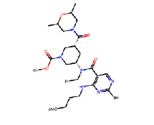 COCCCNc1nc(C(C)(C)C)ncc1C(=O)N(CC(C)C)[C@H]1C[C@@H](C(=O)N2CC(C)OC(C)C2)CN(C(=O)OC(C)(C)C)C1